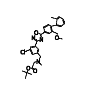 COCc1cc(-c2nc(-c3cc(Cl)cc(CN(C)CC(=O)OC(C)(C)C)c3)no2)ccc1-c1ccccc1C